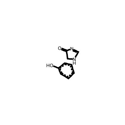 O=C1CNC=N1.Oc1ccccc1